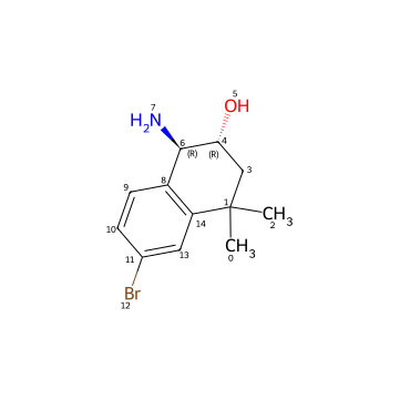 CC1(C)C[C@@H](O)[C@H](N)c2ccc(Br)cc21